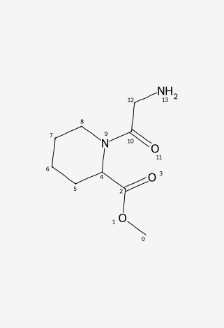 COC(=O)C1CCCCN1C(=O)CN